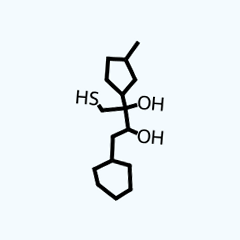 CC1CCC(C(O)(CS)C(O)CC2CCCCC2)C1